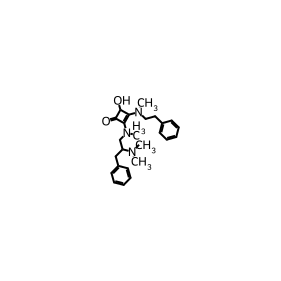 CN(CC(Cc1ccccc1)N(C)C)C1=C(N(C)CCc2ccccc2)C(O)C1=O